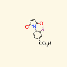 O=C(O)c1ccc(N2C(=O)C=CC2=O)c(I)c1